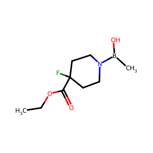 CCOC(=O)C1(F)CCN(B(C)O)CC1